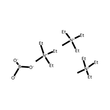 CC[N+](C)(CC)CC.CC[N+](C)(CC)CC.CC[N+](C)(CC)CC.[O-]B([O-])[O-]